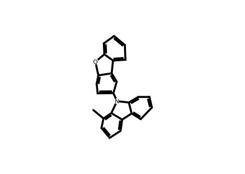 Cc1cccc2c3ccccc3n(-c3ccc4oc5ccccc5c4c3)c12